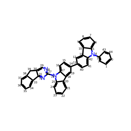 c1ccc(-n2c3ccccc3c3cc(-c4ccc5c(c4)c4ccccc4n5-c4ncc5c(n4)-c4ccccc4C5)ccc32)cc1